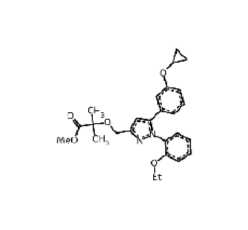 CCOc1ccccc1-n1nc(COC(C)(C)C(=O)OC)cc1-c1cccc(OC2CC2)c1